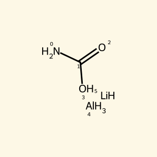 NC(=O)O.[AlH3].[LiH]